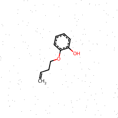 C=CCCOc1ccccc1O